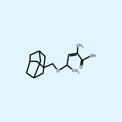 CC(=CC(C)OCC12CC3CC(CC(C3)C1)C2)C(=O)O